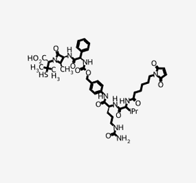 CC(C)C(NC(=O)CCCCCN1C(=O)C=CC1=O)C(=O)N[C@@H](CCCNC(N)=O)C(=O)Nc1ccc(COC(=O)N[C@@H](C(=O)N[C@@H]2C(=O)N([C@@H](C(=O)O)C(C)(C)S)[C@@H]2C)c2ccccc2)cc1